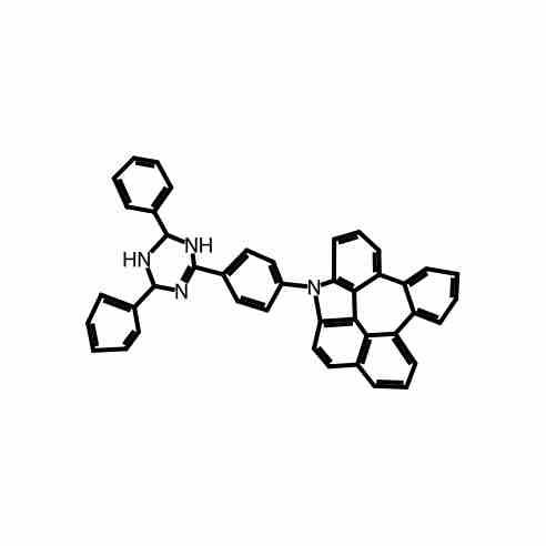 c1ccc(C2N=C(c3ccc(-n4c5cccc6c5c5c7c(cccc7ccc54)-c4ccccc4-6)cc3)NC(c3ccccc3)N2)cc1